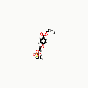 CCOC(=O)c1ccc(OCCOS(C)(=O)=O)cc1